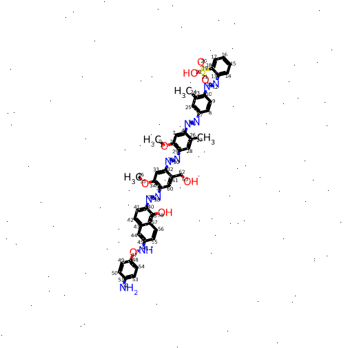 COc1cc(N=Nc2ccc(N=Nc3ccccc3S(=O)(=O)O)c(C)c2)c(C)cc1N=Nc1cc(OC)c(N=Nc2ccc3cc(NOc4ccc(N)cc4)ccc3c2O)cc1CO